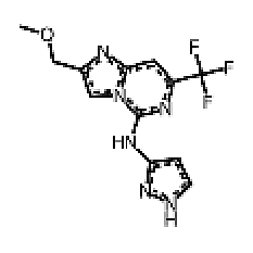 COCc1cn2c(Nc3cc[nH]n3)nc(C(F)(F)F)cc2n1